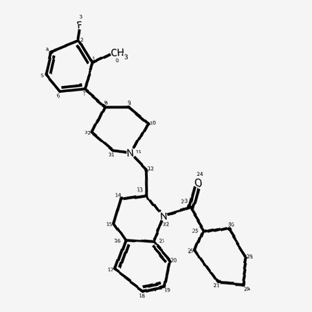 Cc1c(F)cccc1C1CCN(CC2CCc3ccccc3N2C(=O)C2CCCCC2)CC1